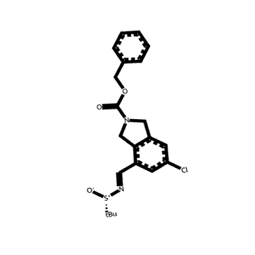 CC(C)(C)[S@+]([O-])/N=C/c1cc(Cl)cc2c1CN(C(=O)OCc1ccccc1)C2